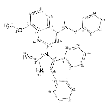 COc1cccc2c(NCc3ccccc3)nc(-n3c(-c4ccccc4)c(-c4ccccc4)[nH]c3=N)nc12